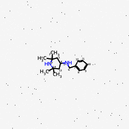 CC1(C)CC(NCc2ccccc2)CC(C)(C)N1